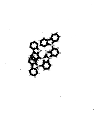 c1ccc2c(c1)oc1c(-n3c4c(-n5c6ccccc6c6ccccc65)cccc4n4c5cccc(-n6c7ccccc7c7ccccc76)c5nc34)nccc12